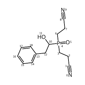 N#CCCP(=O)(CCC#N)C(O)Cc1ccccc1